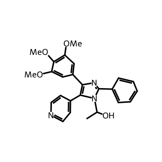 COc1cc(-c2nc(-c3ccccc3)n(C(C)O)c2-c2ccncc2)cc(OC)c1OC